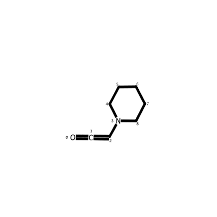 O=C=CN1CCCCC1